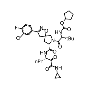 CCC[C@H](NC(=O)[C@@H]1C[C@]2(CC(c3ccc(F)c(Cl)c3)=NO2)CN1C(=O)[C@@H](NC(=O)OC1CCCC1)C(C)(C)C)C(=O)C(=O)NC1CC1